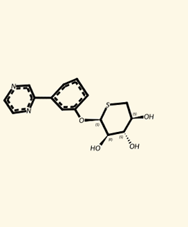 O[C@@H]1[C@@H](O)[C@@H](Oc2cccc(-c3cnccn3)c2)SC[C@H]1O